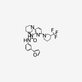 O=C(Nc1cccc(-c2ccco2)c1)N1c2nc(N3CCCC(C(F)(F)F)C3)ccc2N2CCC[C@@H]1C2